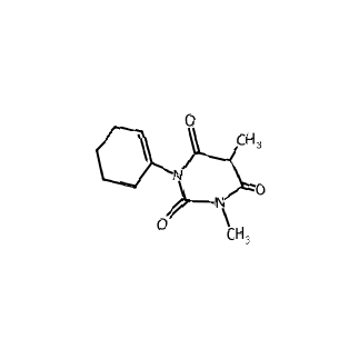 CC1C(=O)N(C)C(=O)N(C2=CCCCC2)C1=O